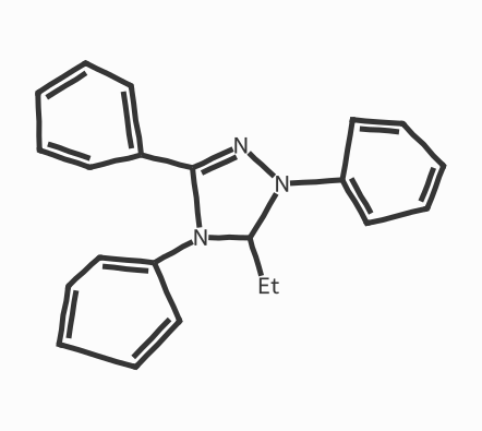 CCC1N(c2ccccc2)N=C(c2ccccc2)N1c1ccccc1